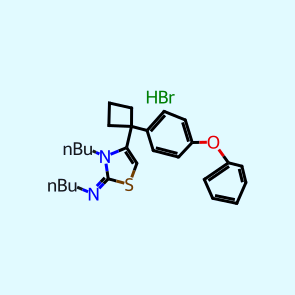 Br.CCCCN=c1scc(C2(c3ccc(Oc4ccccc4)cc3)CCC2)n1CCCC